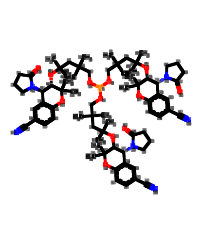 CC(C)(COP(OCC(C)(C)CC(C)(C)O[C@H]1[C@H](N2CCCC2=O)c2cc(C#N)ccc2OC1(C)C)OCC(C)(C)CC(C)(C)O[C@H]1[C@H](N2CCCC2=O)c2cc(C#N)ccc2OC1(C)C)CC(C)(C)O[C@H]1[C@H](N2CCCC2=O)c2cc(C#N)ccc2OC1(C)C